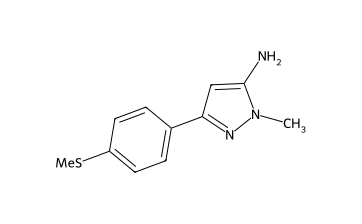 CSc1ccc(-c2cc(N)n(C)n2)cc1